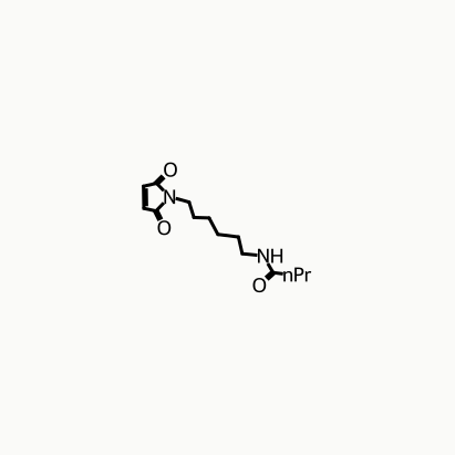 CCCC(=O)NCCCCCCN1C(=O)C=CC1=O